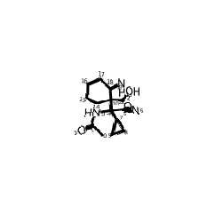 CC(=O)NC(C#N)(C1CC1)C1(C(=O)O)CCCCC1N